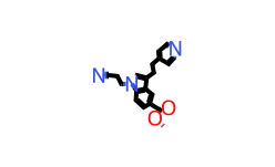 COC(=O)c1ccc2c(c1)c(CCc1ccncc1)cn2CCC#N